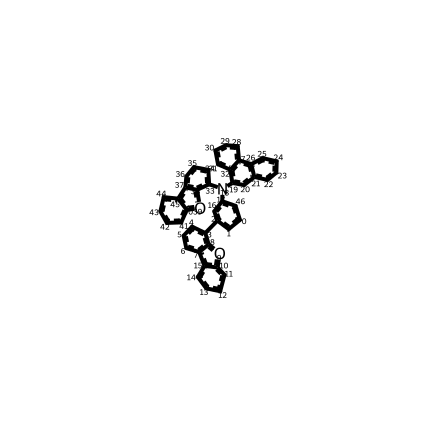 c1cc(-c2cccc3c2oc2ccccc23)cc(N(c2cc3ccccc3c3ccccc23)c2cccc3c2oc2ccccc23)c1